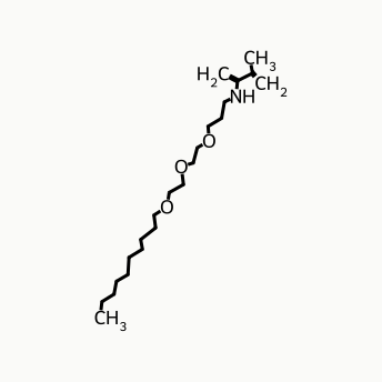 C=C(C)C(=C)NCCCOCCOCCOCCCCCCCCCC